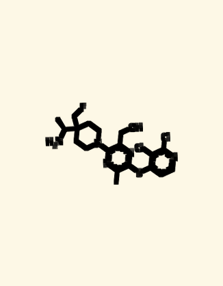 Cc1nc(N2CCC(CF)([C@H](C)N)CC2)c(CO)nc1Sc1ccnc(Cl)c1Cl